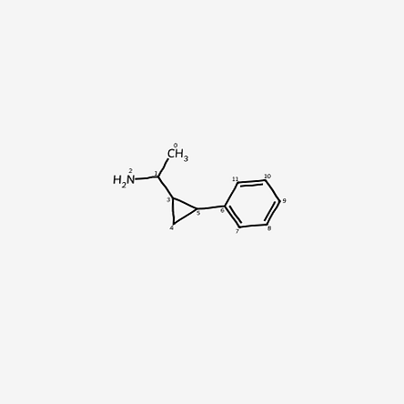 CC(N)C1CC1c1ccccc1